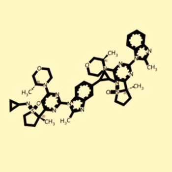 Cc1nc2cc(C3CC3N=S3(=O)CCC[C@]3(C)c3cc(N4CCOC[C@H]4C)nc(-n4c(C)nc5ccccc54)n3)ccc2n1-c1nc(N2CCOC[C@H]2C)cc([C@]2(C)CCCS2(=O)=NC2CC2)n1